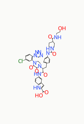 O=C(O)c1cc2cc(NC(=O)C(Cc3ccc(NC(=O)N4CCC(C(=O)NCCO)CC4)cc3)N3CCN(c4cc(Cl)ccc4-n4cnnn4)C(=O)C3=O)ccc2[nH]1